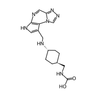 O=C(O)NC[C@H]1CC[C@H](NCc2c[nH]c3ncc4nncn4c23)CC1